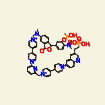 CN(C[n+]1ccc(-c2cc[n+](-c3cccc(C[n+]4ccc(-c5cc[n+](-c6ccc7ncc(CCP(=O)(O)O)cc7c6)cc5)cc4)n3)cc2)cc1)c1ccc2c(c1)C(=O)OC2c1ccc(N(C)CP(C)(=O)O)cc1